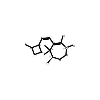 CC1=C(/C=C\C2CCC2C)C(C)(C)[C@H](C)CCN1C